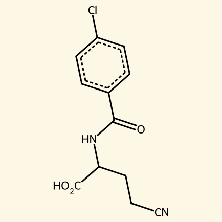 N#CCCC(NC(=O)c1ccc(Cl)cc1)C(=O)O